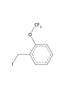 FC(F)(F)Oc1ccccc1CI